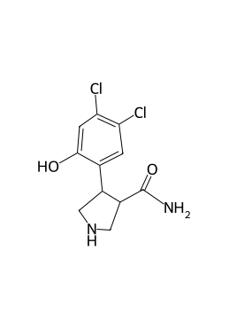 NC(=O)C1CNCC1c1cc(Cl)c(Cl)cc1O